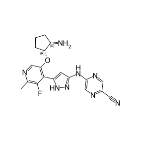 Cc1ncc(O[C@@H]2CCC[C@H]2N)c(-c2cc(Nc3cnc(C#N)cn3)n[nH]2)c1F